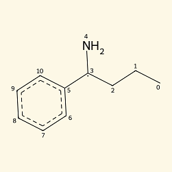 CCC[C](N)c1ccccc1